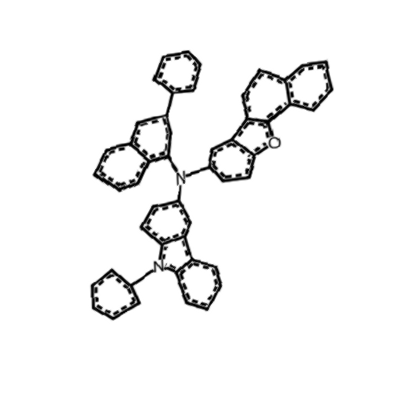 c1ccc(-c2cc(N(c3ccc4oc5c6ccccc6ccc5c4c3)c3ccc4c(c3)c3ccccc3n4-c3ccccc3)c3ccccc3c2)cc1